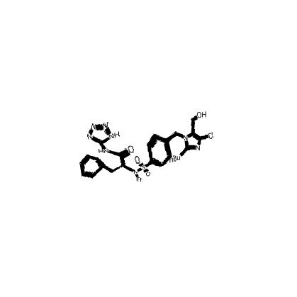 CCCCc1nc(Cl)c(CO)n1Cc1ccc(S(=O)(=O)N(CC)[C@@H](Cc2ccccc2)C(=O)Nc2nnn[nH]2)cc1